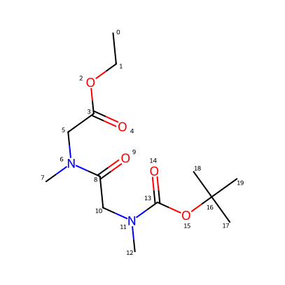 CCOC(=O)CN(C)C(=O)CN(C)C(=O)OC(C)(C)C